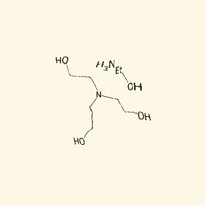 CCO.N.OCCN(CCO)CCO